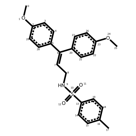 COc1ccc(C(=CCNS(=O)(=O)c2ccc(C)cc2)c2ccc(OC)cc2)cc1